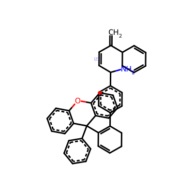 C=C(/C=C\C(N)c1ccc(C2=C(C3(c4ccccc4)c4ccccc4Oc4ccccc43)C=CCC2)cc1)C1C=CC=CC1